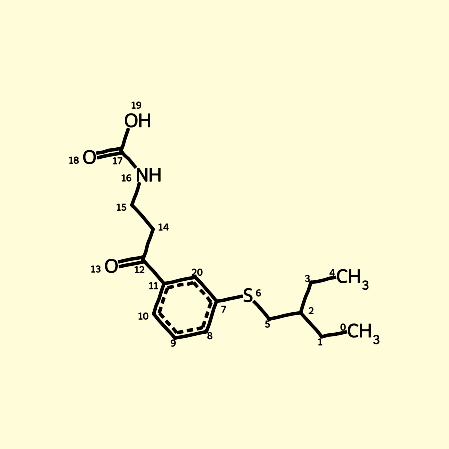 CCC(CC)CSc1cccc(C(=O)CCNC(=O)O)c1